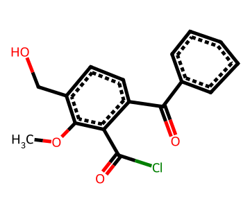 COc1c(CO)ccc(C(=O)c2ccccc2)c1C(=O)Cl